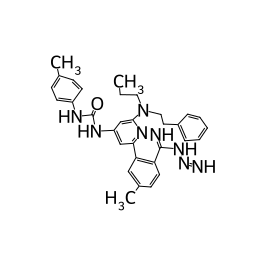 CCCN(CCc1ccccc1)c1cc(NC(=O)Nc2ccc(C)cc2)cc(-c2cc(C)ccc2C(=N)NN=N)n1